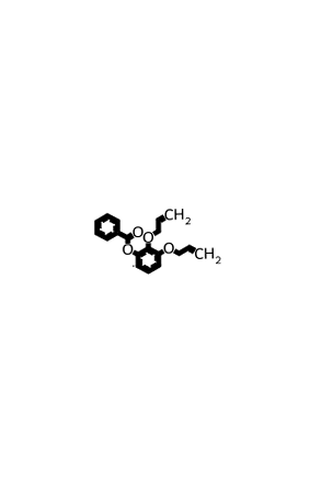 C=CCOc1cc[c]c(OC(=O)c2ccccc2)c1OCC=C